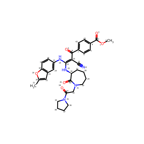 COC(=O)c1ccc(C(=O)C(C#N)=C(Nc2ccc3oc(C)cc3c2)N[C@H]2CCCCN(CC(=O)N3CCCC3)C2=O)cc1